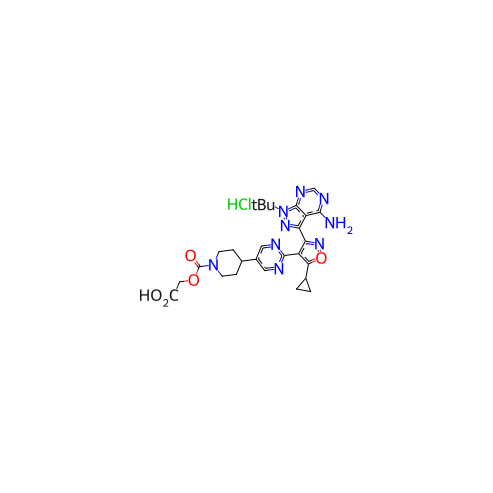 CC(C)(C)n1nc(-c2noc(C3CC3)c2-c2ncc(C3CCN(C(=O)OCC(=O)O)CC3)cn2)c2c(N)ncnc21.Cl